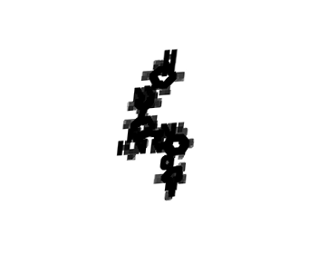 CN1CCC(Oc2cccc3[nH]c(-c4nc(-c5cnn(C6CCNCC6)c5)cnc4N)nc23)C1